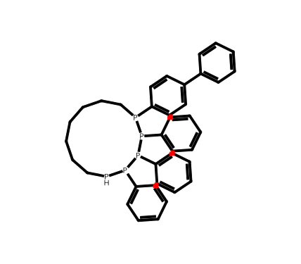 c1ccc(-c2ccc(P3CCCCCCCPP(c4ccccc4)P(c4ccccc4)P3c3ccccc3)cc2)cc1